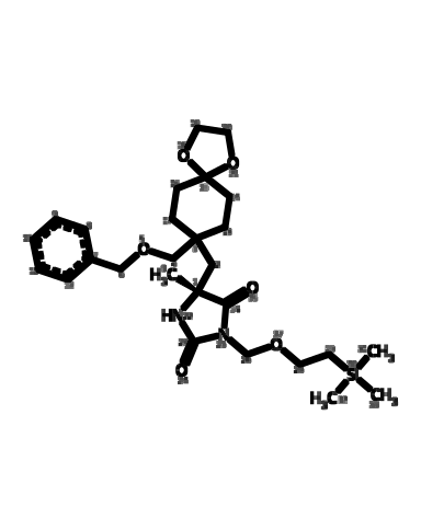 C[C@]1(CC2(COCc3ccccc3)CCC3(CC2)OCCO3)NC(=O)N(COCC[Si](C)(C)C)C1=O